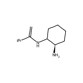 C=C(NC1CCCC[C@H]1N)C(C)C